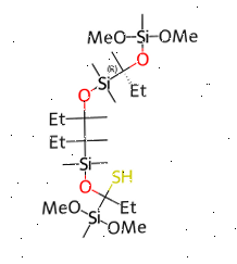 CCC(C)(O[Si](C)(C)[C@](C)(CC)O[Si](C)(OC)OC)C(C)(CC)[Si](C)(C)OC(S)(CC)[Si](C)(OC)OC